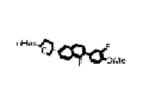 CCCCCC[C@H]1CC[C@H](c2ccc3c(F)c(-c4ccc(OC)c(F)c4)ccc3c2)CC1